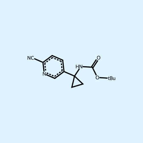 CC(C)(C)OC(=O)NC1(c2ccc(C#N)nc2)CC1